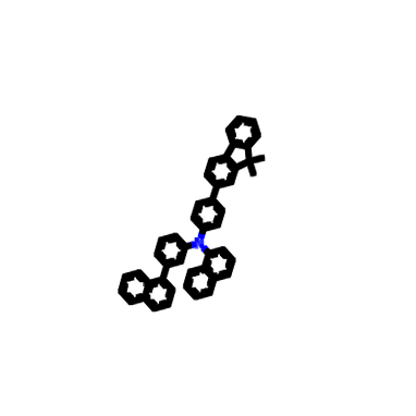 CC1(C)c2ccccc2-c2ccc(-c3ccc(N(c4cccc(-c5cccc6ccccc56)c4)c4cccc5ccccc45)cc3)cc21